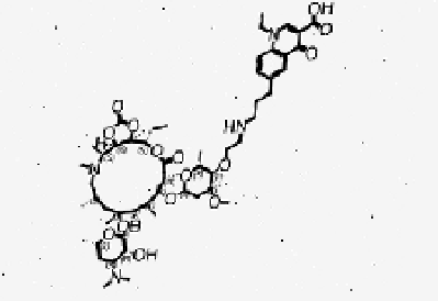 CC[C@@H]1OC(=O)[C@H](C)[C@H](O[C@@H]2C[C@](C)(OC)[C@H](OCCNCCCc3ccc4c(c3)c(=O)c(C(=O)O)cn4CC)[C@H](C)O2)[C@@H](C)[C@H](O[C@H]2O[C@@H](C)C[C@@H](N(C)C)[C@H]2O)[C@](C)(O)C[C@H](C)CN(C)[C@@H](C)[C@H]2OC(=O)O[C@@]12C